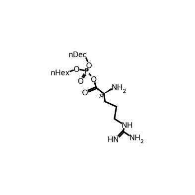 CCCCCCCCCCOP(=O)(OCCCCCC)OC(=O)[C@@H](N)CCCNC(=N)N